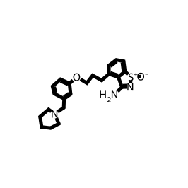 Nc1n[s+]([O-])c2cccc(CCCOc3cccc(CN4CCCCC4)c3)c12